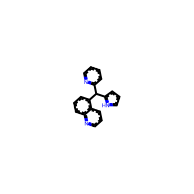 c1ccc(C(c2ccc[nH]2)c2cccc3ncccc23)nc1